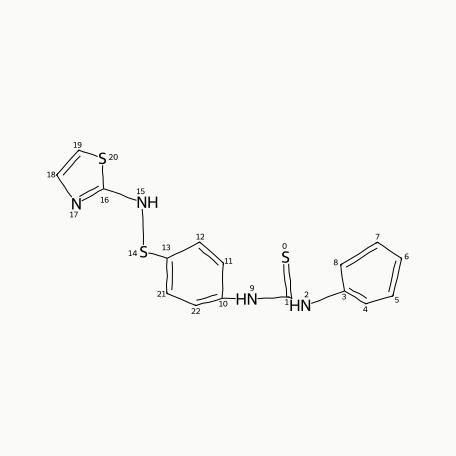 S=C(Nc1ccccc1)Nc1ccc(SNc2nccs2)cc1